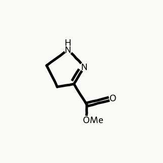 COC(=O)C1=NNCC1